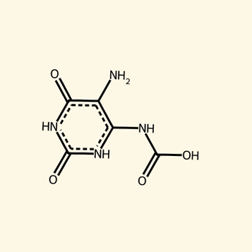 Nc1c(NC(=O)O)[nH]c(=O)[nH]c1=O